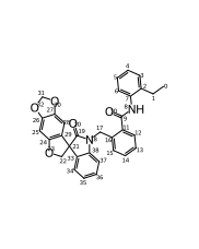 CCc1ccccc1NC(=O)c1ccccc1CN1C(=O)C2(COc3cc4c(cc32)OCO4)c2ccccc21